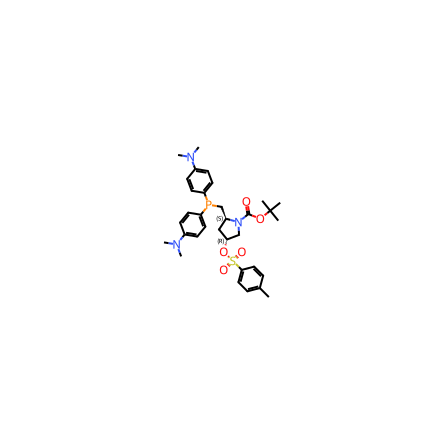 Cc1ccc(S(=O)(=O)O[C@@H]2C[C@@H](CP(c3ccc(N(C)C)cc3)c3ccc(N(C)C)cc3)N(C(=O)OC(C)(C)C)C2)cc1